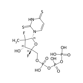 CC1(F)[C@@H](O)[C@@](F)(COP(=O)(O)OP(=O)(O)OP(=O)(O)O)O[C@H]1n1ccc(=S)[nH]c1=S